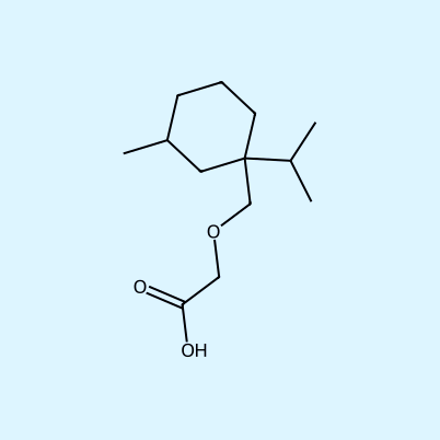 CC1CCCC(COCC(=O)O)(C(C)C)C1